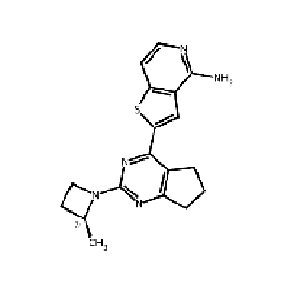 C[C@H]1CCN1c1nc2c(c(-c3cc4c(N)nccc4s3)n1)CCC2